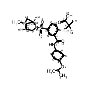 CC(C)Oc1ccc(NC(=O)c2cccc(S(=O)(=O)N3C[C@@H]4C[C@H]3CN4C)c2)cc1.O=C(O)C(F)(F)F